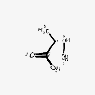 CCC(=O)O.OO